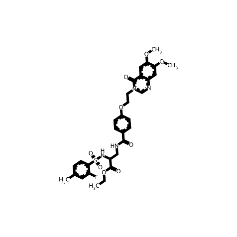 CCOC(=O)C(CNC(=O)c1ccc(OCCn2cnc3cc(OC)c(OC)cc3c2=O)cc1)NS(=O)(=O)c1ccc(C)cc1F